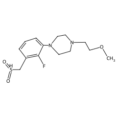 COCCN1CCN(c2cccc(C[SH](=O)=O)c2F)CC1